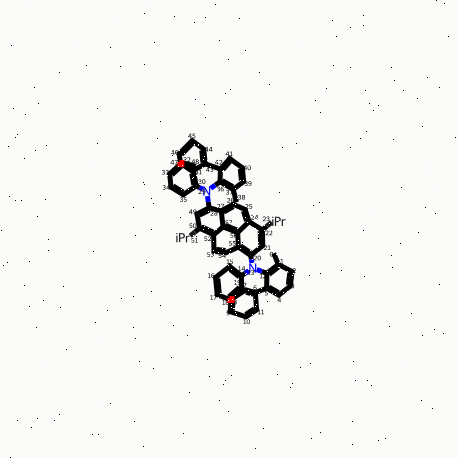 Cc1cccc(-c2ccccc2)c1N(c1ccccc1)c1cc(C(C)C)c2ccc3c(N(c4ccccc4)c4c(C)cccc4-c4ccccc4)cc(C(C)C)c4ccc1c2c43